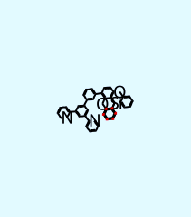 c1ccc([Si]23c4ccccc4Oc4ccc(-c5cccc(-c6cc(-c7ccccn7)cc(-c7ccccn7)c6)c5)c(c42)Oc2ccccc23)cc1